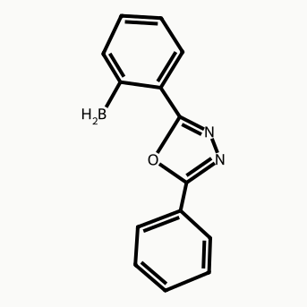 Bc1ccccc1-c1nnc(-c2ccccc2)o1